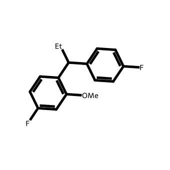 CCC(c1ccc(F)cc1)c1ccc(F)cc1OC